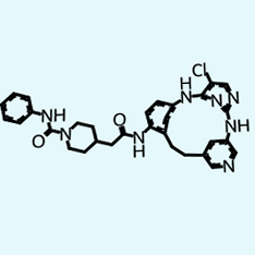 O=C(CC1CCN(C(=O)Nc2ccccc2)CC1)Nc1ccc2cc1CCc1cncc(c1)Nc1ncc(Cl)c(n1)N2